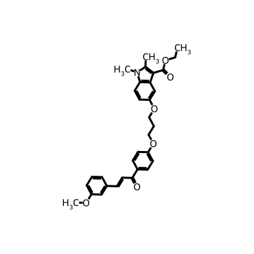 CCOC(=O)c1c(C)n(C)c2ccc(OCCCOc3ccc(C(=O)C=Cc4cccc(OC)c4)cc3)cc12